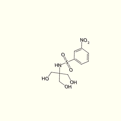 O=[N+]([O-])c1cccc(S(=O)(=O)NC(CO)(CO)CO)c1